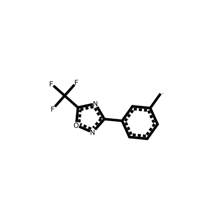 [CH2]c1cccc(-c2noc(C(F)(F)F)n2)c1